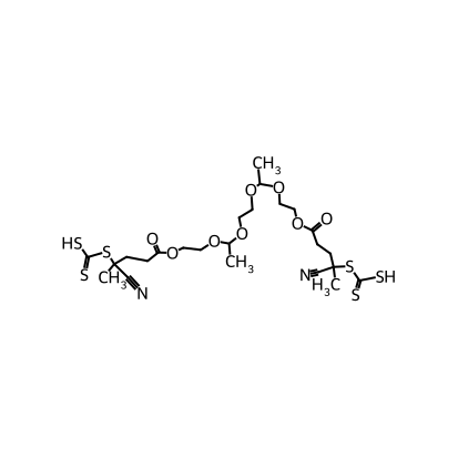 CC(OCCOC(=O)CCC(C)(C#N)SC(=S)S)OCCOC(C)OCCOC(=O)CCC(C)(C#N)SC(=S)S